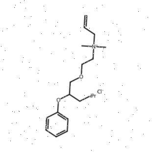 C=CC[N+](C)(C)CCOCC(CC(C)C)Oc1ccccc1.[Cl-]